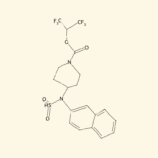 O=C(OC(C(F)(F)F)C(F)(F)F)N1CCC(N(c2ccc3ccccc3c2)[SH](=O)=O)CC1